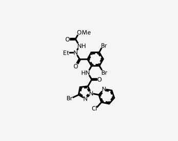 CCN(NC(=O)OC)C(=O)c1cc(Br)cc(Br)c1NC(=O)c1cc(Br)nn1-c1ncccc1Cl